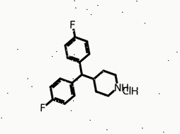 Cl.Fc1ccc(C(c2ccc(F)cc2)C2CCNCC2)cc1